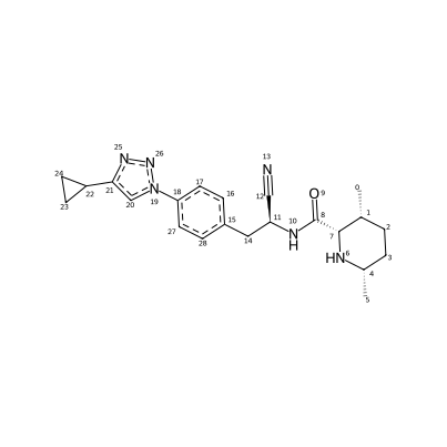 C[C@@H]1CC[C@H](C)N[C@@H]1C(=O)N[C@H](C#N)Cc1ccc(-n2cc(C3CC3)nn2)cc1